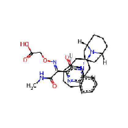 CNC(=O)/C(=N\OCC(=O)O)c1nc2ccccc2n([C@H]2C[C@H]3CCC[C@@H](C2)N3[C@@H]2C[C@@H]3CCCC[C@@H](C3)C2)c1=O